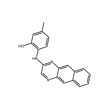 Cc1ccc(Nc2cnc3cc4ccccc4cc3n2)c(O)c1